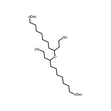 CCCCCCCCCCCCCCCCCC(CCS)OC(CCS)CCCCCCCCCCCCCCCCC